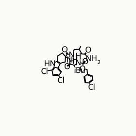 CCC(C)C(NC(=O)OCc1ccc(Cl)cc1)C(=O)NC1(C(=O)NCC(C)CC(N)=O)CCc2[nH]c3c(Cl)cc(Cl)cc3c2C1